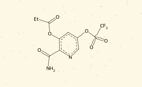 CCC(=O)Oc1cc(OS(=O)(=O)C(F)(F)F)cnc1C(N)=O